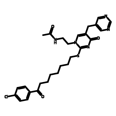 CC(=O)NCCn1cc(Cc2cncnc2)c(=O)nc1SCCCCCCCC(=O)c1ccc(Cl)cc1